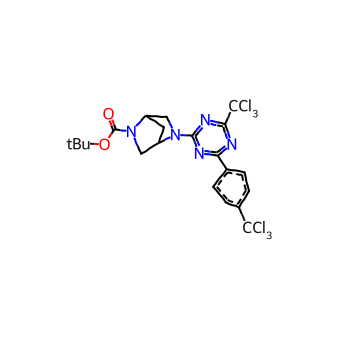 CC(C)(C)OC(=O)N1CC2CC1CN2c1nc(-c2ccc(C(Cl)(Cl)Cl)cc2)nc(C(Cl)(Cl)Cl)n1